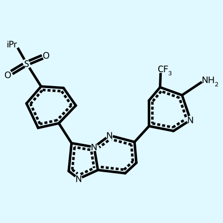 CC(C)S(=O)(=O)c1ccc(-c2cnc3ccc(-c4cnc(N)c(C(F)(F)F)c4)nn23)cc1